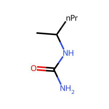 CCCC(C)NC(N)=O